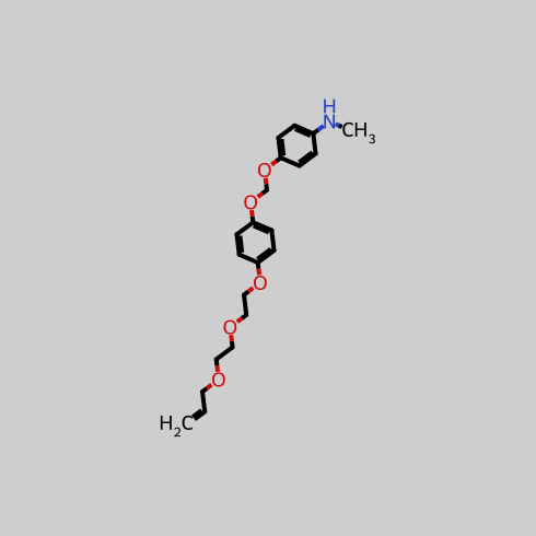 C=CCOCCOCCOc1ccc(OCOc2ccc(NC)cc2)cc1